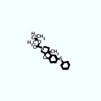 CC(C)(C)OC(=O)N1CCC2(C)c3cc(Sc4ccccc4)ccc3OC2C1